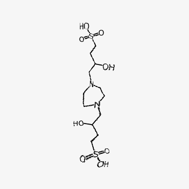 O=S(=O)(O)CCC(O)CN1CCN(CC(O)CCS(=O)(=O)O)CC1